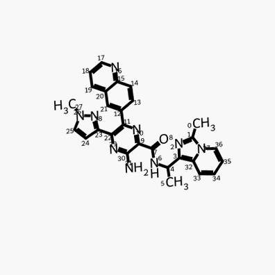 Cc1nc(C(C)NC(=O)c2nc(-c3ccc4ncccc4c3)c(-c3ccn(C)n3)nc2N)c2ccccn12